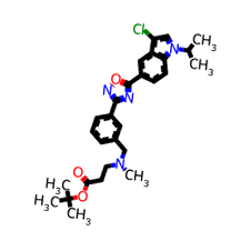 CC(C)n1cc(Cl)c2cc(-c3nc(-c4cccc(CN(C)CCC(=O)OC(C)(C)C)c4)no3)ccc21